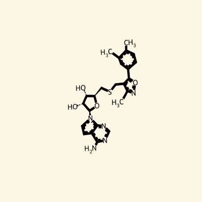 Cc1ccc(-c2onc(C)c2CSC[C@H]2O[C@@H](n3ccc4c(N)ncnc43)[C@H](O)[C@@H]2O)cc1C